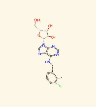 Cc1c(Cl)cccc1CNc1ncnc2c1ncn2[C@@H]1O[C@H](CO)[C@@H](O)[C@H]1O